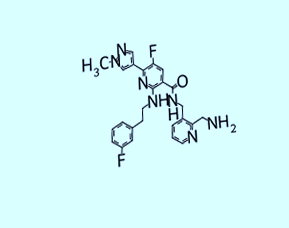 Cn1cc(-c2nc(NCCc3cccc(F)c3)c(C(=O)NCc3cccnc3CN)cc2F)cn1